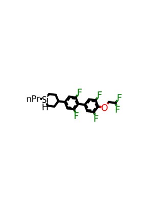 CCC[SiH]1CCC(c2cc(F)c(-c3cc(F)c(OCC(F)F)c(F)c3)c(F)c2)CC1